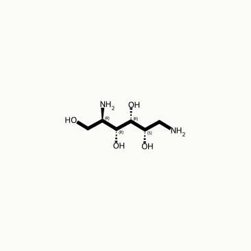 NC[C@H](O)[C@@H](O)[C@H](O)[C@H](N)CO